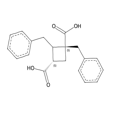 O=C(O)[C@H]1C[C@@](Cc2ccccc2)(C(=O)O)C1Cc1ccccc1